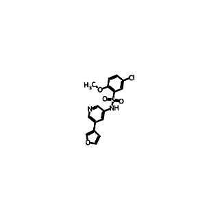 COc1ccc(Cl)cc1S(=O)(=O)Nc1cncc(-c2ccoc2)c1